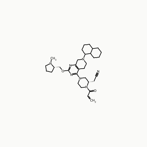 C=CC(=O)N1CCN(c2nc(OC[C@@H]3CCCN3C)nc3c2CCN(C2CCCC4CCCCC42)C3)C[C@@H]1CC#N